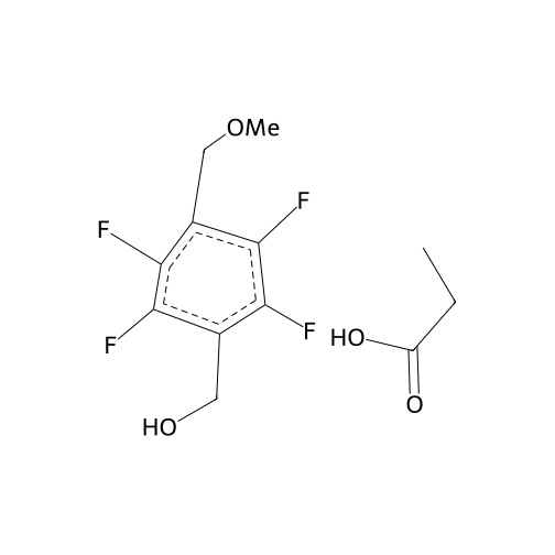 CCC(=O)O.COCc1c(F)c(F)c(CO)c(F)c1F